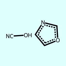 N#CO.c1cocn1